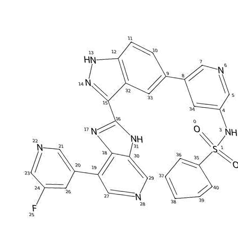 O=S(=O)(Nc1cncc(-c2ccc3[nH]nc(-c4nc5c(-c6cncc(F)c6)cncc5[nH]4)c3c2)c1)c1ccccc1